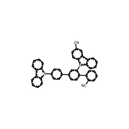 N#Cc1ccc2c(c1)c1ccccc1n2-c1cc(-c2ccc(-n3c4ccccc4c4ccccc43)cc2)ccc1-c1ccccc1C#N